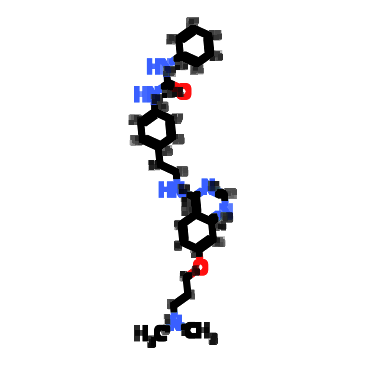 CN(C)CCCOc1ccc2c(NCCc3ccc(NC(=O)Nc4ccccc4)cc3)ncnc2c1